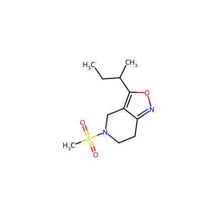 CCC(C)c1onc2c1CN(S(C)(=O)=O)CC2